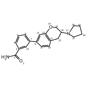 NC(=O)c1cccc(-c2ccc3c(c2)OCC(N2CCCC2)C3)c1